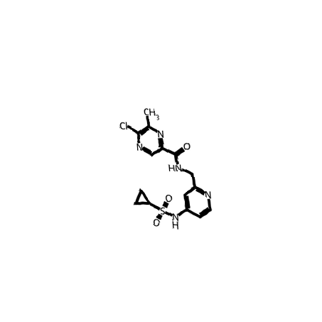 Cc1nc(C(=O)NCc2cc(NS(=O)(=O)C3CC3)ccn2)cnc1Cl